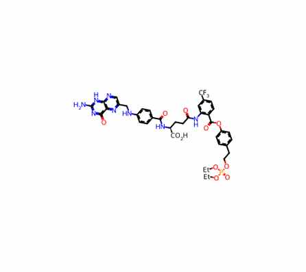 CCOP(=O)(OCC)OCCc1ccc(OC(=O)c2ccc(C(F)(F)F)cc2NC(=O)CC[C@H](NC(=O)c2ccc(NCc3cnc4[nH]c(N)nc(=O)c4n3)cc2)C(=O)O)cc1